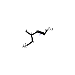 CCC(C)/C=C/C(C)CC(C)=O